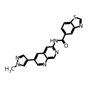 Cn1cc(-c2cnc3cnc(NC(=O)c4ccc5scnc5c4)cc3c2)cn1